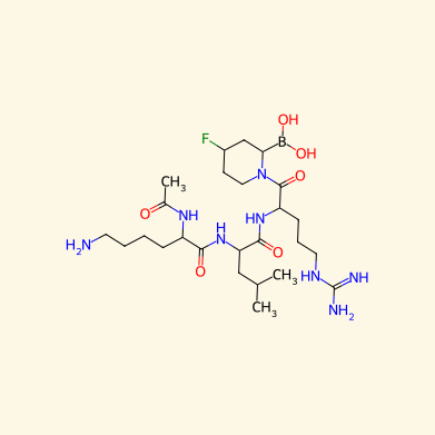 CC(=O)NC(CCCCN)C(=O)NC(CC(C)C)C(=O)NC(CCCNC(=N)N)C(=O)N1CCC(F)CC1B(O)O